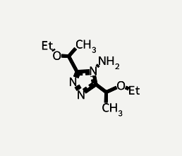 CCOC(C)c1nnc(C(C)OCC)n1N